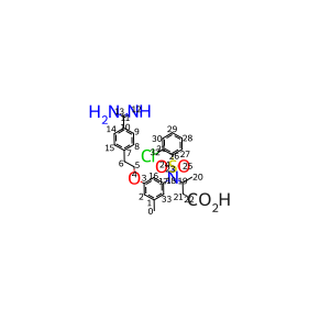 Cc1cc(OCCc2ccc(C(=N)N)cc2)cc(N(C(C)CC(=O)O)S(=O)(=O)c2ccccc2Cl)c1